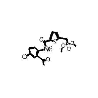 COP(=O)(Cc1ccc(C(=O)Nc2ccc(Cl)cc2C(C)=O)s1)OC